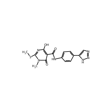 CSc1nc(O)c(C(=O)Nc2ccc(-c3cnn[nH]3)cc2)c(=O)n1C